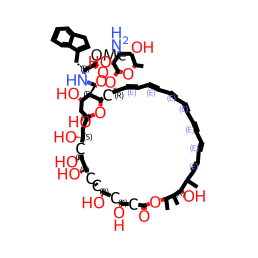 COC(=O)[C@@H](CC1=CCc2ccccc21)NC(=O)[C@@H]1C(O)C[C@@]2(O)C[C@@H](O)C[C@@H](O)[C@H](O)CC[C@@H](O)C[C@@H](O)CC(=O)OC(C)C(C)[C@H](O)C(C)/C=C/C=C/C=C/C=C/C=C/C=C/C=C/[C@H](OC3OC(C)C(O)C(N)C3O)CC1O2